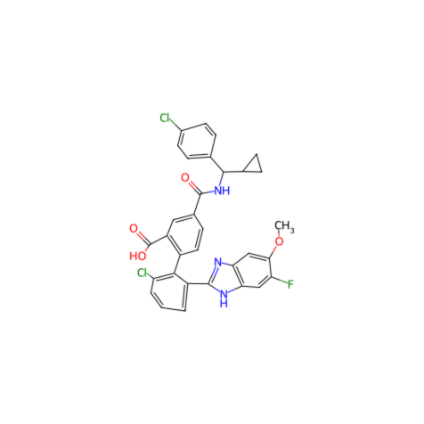 COc1cc2nc(-c3cccc(Cl)c3-c3ccc(C(=O)NC(c4ccc(Cl)cc4)C4CC4)cc3C(=O)O)[nH]c2cc1F